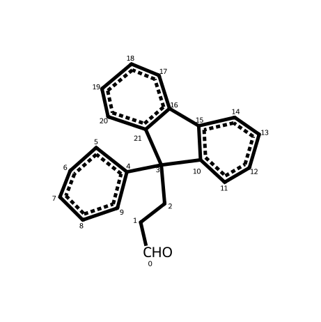 O=CCCC1(c2ccccc2)c2ccccc2-c2ccccc21